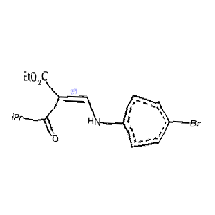 CCOC(=O)/C(=C/Nc1ccc(Br)cc1)C(=O)C(C)C